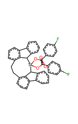 O=C([O][Ti]1([O]C(=O)c2ccc(F)cc2)[CH]2c3ccccc3-c3cccc(c32)CCc2cccc3c2[CH]1c1ccccc1-3)c1ccc(F)cc1